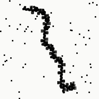 CCOc1ccc(NC(=O)CCCCC(=O)NCCC(=O)Nc2cc(C(=O)Nc3cn(C)c(C(=O)Nc4cc(C(=O)Nc5cn(C)c(C(=O)NCCCC(=O)Nc6cc(C(=O)Nc7cc(C(=O)Nc8cc(C(=O)Nc9cc(C(=O)NCCCN(C)C)n(C)c9)n(C)c8)n(C)c7)n(C)c6)n5)n(C)c4)n3)n(C)c2)cc1C(=O)Nc1ccc(Cl)c(C(F)(F)F)c1